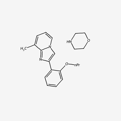 C1COCCN1.CCCOc1ccccc1-c1cn2cccc(C)c2n1